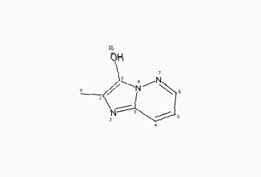 Cc1nc2cccnn2c1O